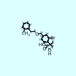 Cc1ccccc1CCOCc1ccc(C(F)(F)P(=O)(O)O)c(Br)c1